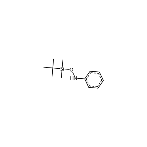 CC(C)(C)[Si](C)(C)ONc1ccccc1